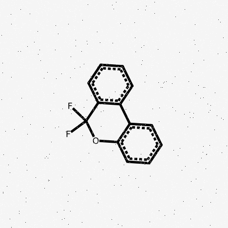 FC1(F)Oc2ccccc2-c2ccccc21